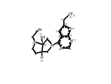 CC(C)CN1CC[C@H]2CN(c3ncnc4sc(CC(F)(F)F)cc34)C[C@]21S